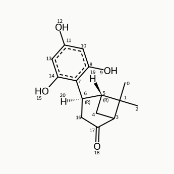 CC1(C)C2C[C@@H]1[C@H](c1c(O)cc(O)cc1O)CC2=O